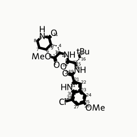 COC(=O)[C@H](C[C@@H]1CCCNC1=O)NC(=O)[C@H](CC(C)(C)C)NC(=O)c1cc2cc(OC)cc(Cl)c2[nH]1